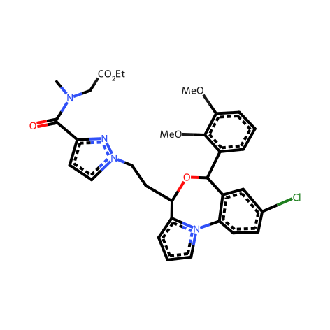 CCOC(=O)CN(C)C(=O)c1ccn(CCC2OC(c3cccc(OC)c3OC)c3cc(Cl)ccc3-n3cccc32)n1